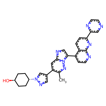 Cc1nn2c(-c3ccnc4nc(-c5cnccn5)ccc34)cnc2cc1-c1cnn([C@H]2CC[C@H](O)CC2)c1